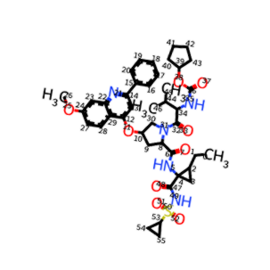 CCC1CC1(NC(=O)C1CC(Oc2cc(-c3ccccc3)nc3cc(OC)ccc23)CN1C(=O)C(NC(=O)OC1CCCC1)C(C)C)C(=O)NS(=O)(=O)C1CC1